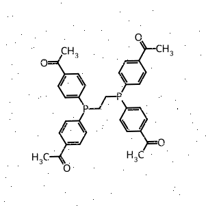 CC(=O)c1ccc(P(CCP(c2ccc(C(C)=O)cc2)c2ccc(C(C)=O)cc2)c2ccc(C(C)=O)cc2)cc1